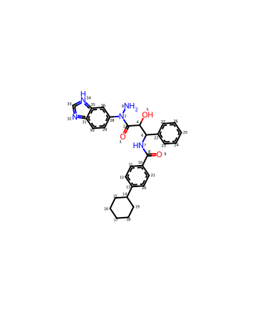 NN(C(=O)C(O)C(NC(=O)c1ccc(C2CCCCC2)cc1)c1ccccc1)c1ccc2nc[nH]c2c1